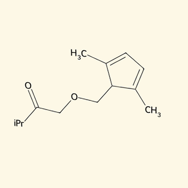 CC1=CC=C(C)C1COCC(=O)C(C)C